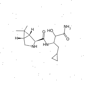 CC1(C)[C@@H]2[C@@H](C(=O)NC(CC3CC3)C(O)C(N)=O)NC[C@@H]21